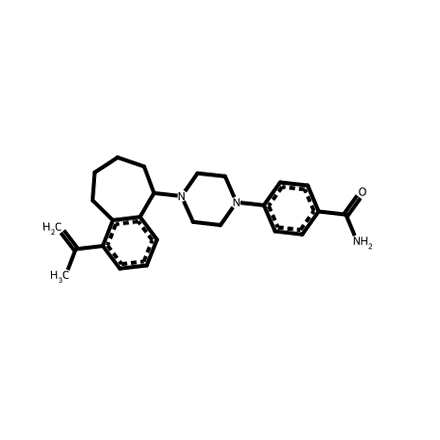 C=C(C)c1cccc2c1CCCCC2N1CCN(c2ccc(C(N)=O)cc2)CC1